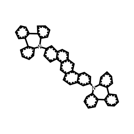 c1ccc2c(c1)-c1ccccc1N(c1ccc3c(ccc4cc5c(ccc6cc(N7c8ccccc8-c8ccccc8-c8ccccc87)ccc65)cc43)c1)c1ccccc1-2